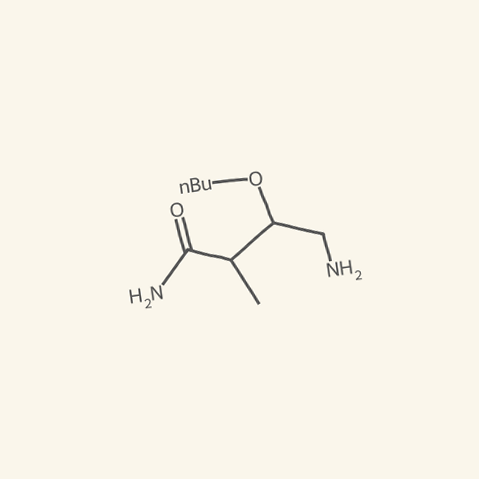 CCCCOC(CN)C(C)C(N)=O